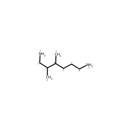 CC(CN)C(C)CCCN